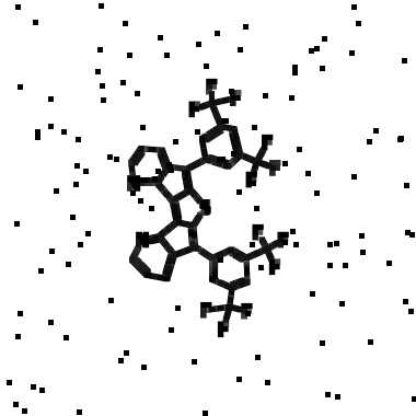 FC(F)(F)c1cc(C2=c3sc4c(c3-c3ncccc32)-c2ncccc2C=4c2cc(C(F)(F)F)cc(C(F)(F)F)c2)cc(C(F)(F)F)c1